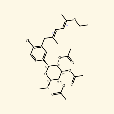 CCO/C(C)=C/C=C(\C)Cc1cc([C@@H]2O[C@H](SC)[C@@H](OC(C)=O)[C@H](OC(C)=O)[C@H]2OC(C)=O)ccc1Cl